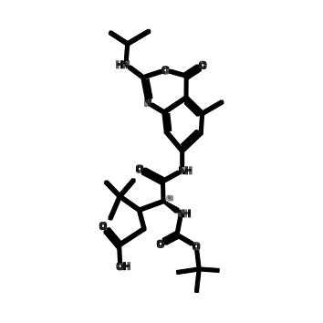 Cc1cc(NC(=O)[C@@H](NC(=O)OC(C)(C)C)C(CC(=O)O)C(C)(C)C)cc2nc(NC(C)C)oc(=O)c12